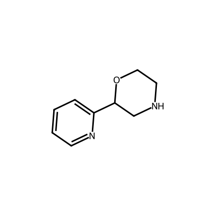 c1ccc(C2CNCCO2)nc1